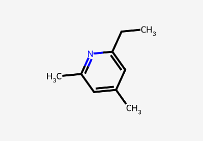 CCc1cc(C)cc(C)n1